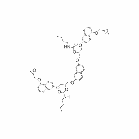 CCCCNC(=O)OC(COc1ccc2ccc(OCC(COc3ccc4c(OCC5CO5)cccc4c3)OC(=O)NCCCC)cc2c1)COc1ccc2c(OCC3CO3)cccc2c1